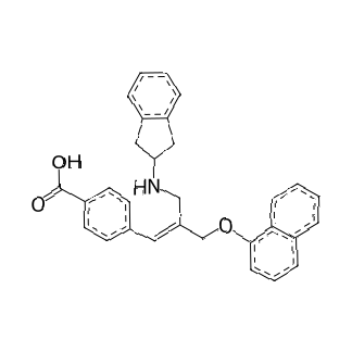 O=C(O)c1ccc(C=C(CNC2Cc3ccccc3C2)COc2cccc3ccccc23)cc1